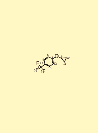 FC(F)(F)c1[c]cc(OC2CC2)cc1